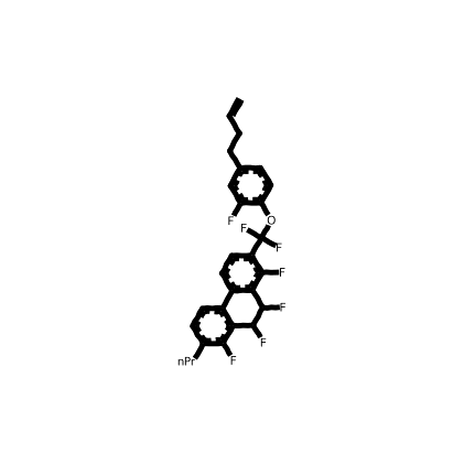 C=CCCc1ccc(OC(F)(F)c2ccc3c(c2F)C(F)C(F)c2c-3ccc(CCC)c2F)c(F)c1